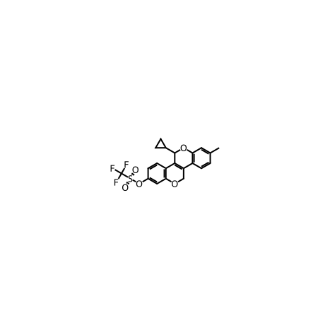 Cc1ccc2c(c1)OC(C1CC1)C1=C2COc2cc(OS(=O)(=O)C(F)(F)F)ccc21